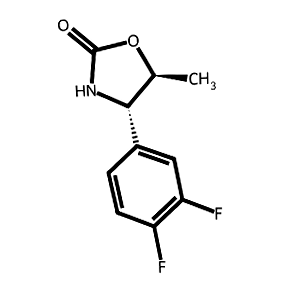 C[C@@H]1OC(=O)N[C@H]1c1ccc(F)c(F)c1